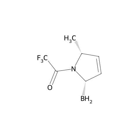 B[C@H]1C=C[C@@H](C)N1C(=O)C(F)(F)F